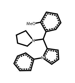 COc1ccccc1C(c1cccn1-c1ccccc1)N1CCCC1